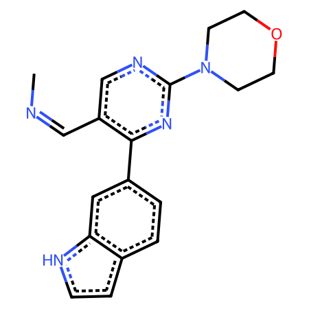 C/N=C\c1cnc(N2CCOCC2)nc1-c1ccc2cc[nH]c2c1